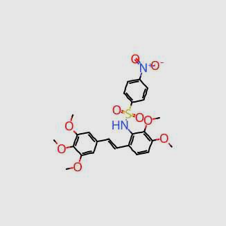 COc1cc(C=Cc2ccc(OC)c(OC)c2NS(=O)(=O)c2ccc([N+](=O)[O-])cc2)cc(OC)c1OC